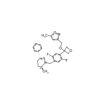 Cc1cc(COC2(c3cc(F)c(CN4S[C@@H](c5ccccc5)CC[C@@H]4C)cc3F)COC2)no1